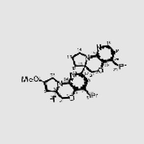 CO[C@@H]1C[C@@H]2COc3c(C(C)C)cc([C@@]45CCCN4c4nccc(C(C)C)c4OC5)nc3N2C1